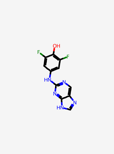 Oc1c(F)cc(Nc2ncc3nc[nH]c3n2)cc1F